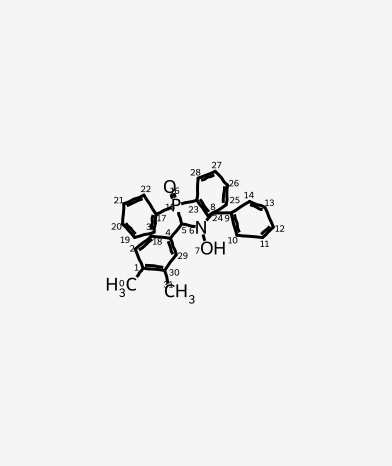 Cc1ccc(C(N(O)Cc2ccccc2)P(=O)(c2ccccc2)c2ccccc2)cc1C